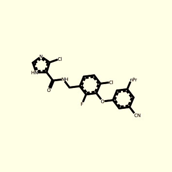 CCCc1cc(C#N)cc(Oc2c(Cl)ccc(CNC(=O)c3[nH]cnc3Cl)c2F)c1